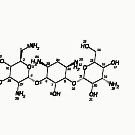 NC[C@H]1O[C@H](OC2C(O)C(O[C@@H]3OC(CO)C(O)[C@H](N)C3O)[C@H](N)C[C@@H]2N)C(N)C(O)C1O